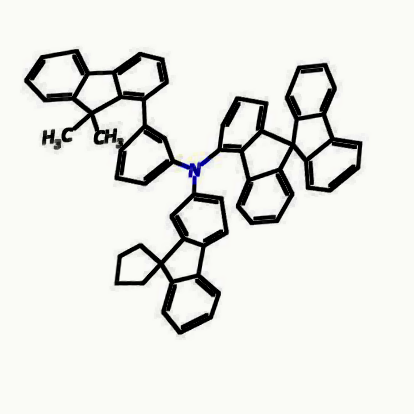 CC1(C)c2ccccc2-c2cccc(-c3cccc(N(c4ccc5c(c4)C4(CCCC4)c4ccccc4-5)c4cccc5c4-c4ccccc4C54c5ccccc5-c5ccccc54)c3)c21